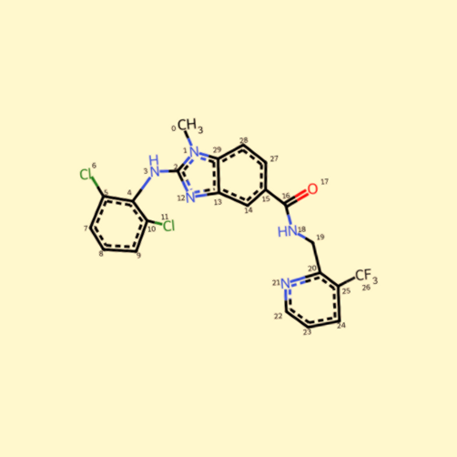 Cn1c(Nc2c(Cl)cccc2Cl)nc2cc(C(=O)NCc3ncccc3C(F)(F)F)ccc21